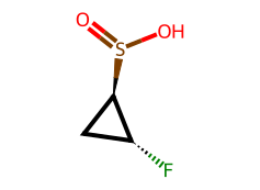 O=S(O)[C@@H]1C[C@H]1F